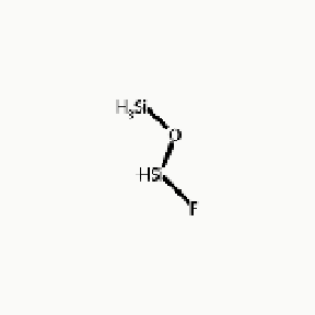 F[SiH]O[SiH3]